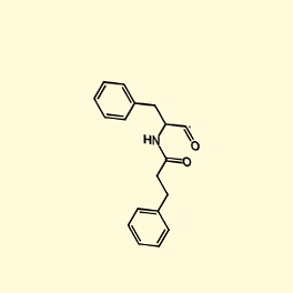 O=[C]C(Cc1ccccc1)NC(=O)CCc1ccccc1